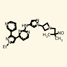 CCn1cc(-c2ccnc(Nc3cnn(C4CN(CC(C)(C)N=O)C4)c3)n2)c(-c2cccnc2)n1